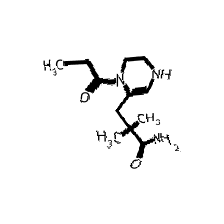 CCC(=O)N1CCNC=C1CC(C)(C)C(N)=O